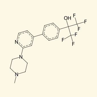 CN1CCN(c2cc(-c3ccc(C(O)(C(F)(F)F)C(F)(F)F)cc3)ccn2)CC1